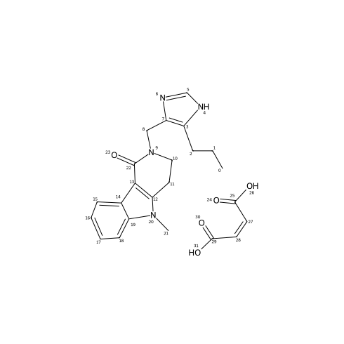 CCCc1[nH]cnc1CN1CCc2c(c3ccccc3n2C)C1=O.O=C(O)/C=C\C(=O)O